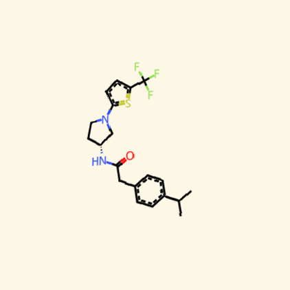 CC(C)c1ccc(CC(=O)N[C@@H]2CCN(c3ccc(C(F)(F)F)s3)C2)cc1